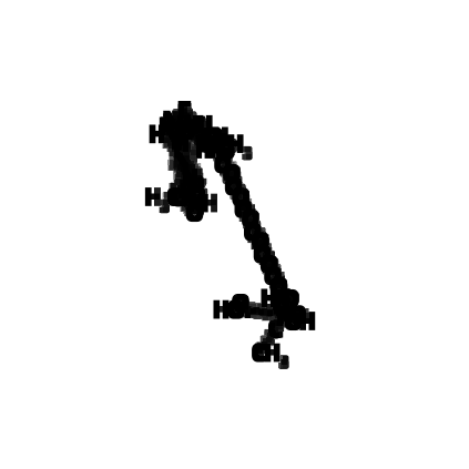 CCCCCCCCCCCN(C(=O)CCCCCCCCCC(=O)O)C(CCC(=O)NCCOCCOCCOCCOCCOCCOCCOCCOCCOCCOCCOCCOCCC(=O)N[C@H](C)C(=O)OC(C)(C)c1ccc(C(=O)Nc2cc(F)cc(-c3ncnc4[nH]c(-c5ccc(CCN6CCC7(CC6)CCN(C(=O)c6ccc(OC)c(N8CCC(=O)NC8=O)c6)CC7)cc5)cc34)c2C)c(F)c1)C(=O)O